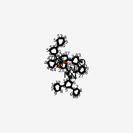 c1ccc(-c2cc(-c3ccccc3)cc(-c3nc(-c4ccccc4)nc(-c4cccc5oc6ccc(-c7ccc8c(c7)Oc7ccccc7N8c7cccc(-c8ccccc8)c7)cc6c45)n3)c2)cc1